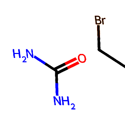 CCBr.NC(N)=O